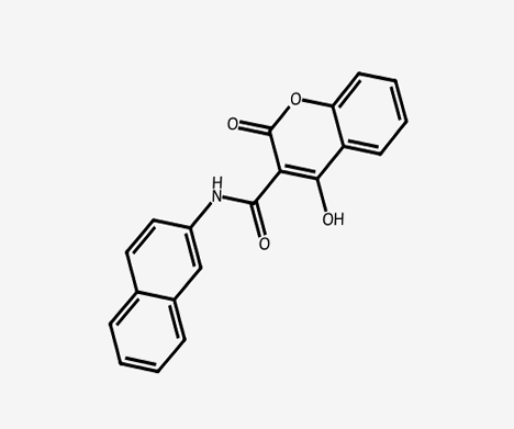 O=C(Nc1ccc2ccccc2c1)c1c(O)c2ccccc2oc1=O